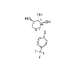 O[C@@H]1[C@@H](O)[C@H](Sc2ccc(C(F)(F)F)cc2)SC[C@H]1O